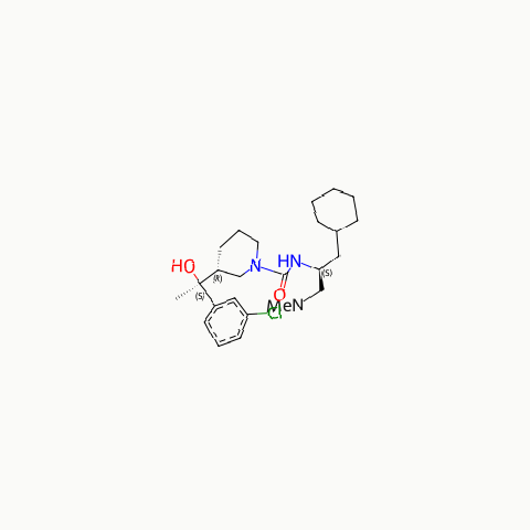 CNC[C@H](CC1CCCCC1)NC(=O)N1CCC[C@@H]([C@](C)(O)c2cccc(Cl)c2)C1